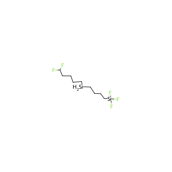 FC(F)CCCC[SiH2]CCCC[Si](F)(F)F